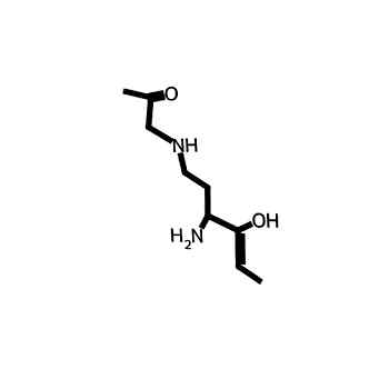 CC=C(O)C(N)CCNCC(C)=O